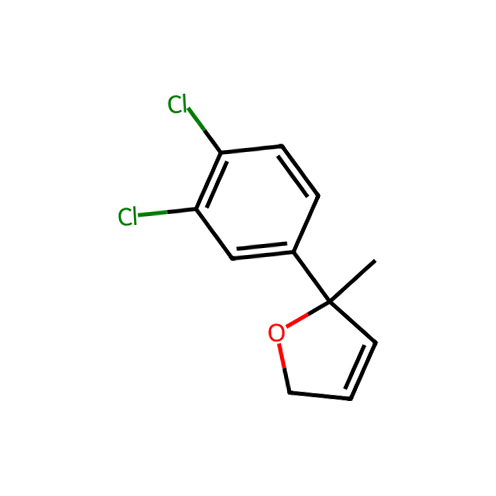 CC1(c2ccc(Cl)c(Cl)c2)C=CCO1